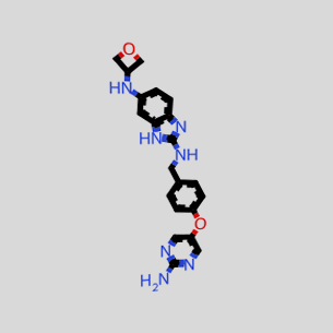 Nc1ncc(Oc2ccc(CNc3nc4ccc(NC5COC5)cc4[nH]3)cc2)cn1